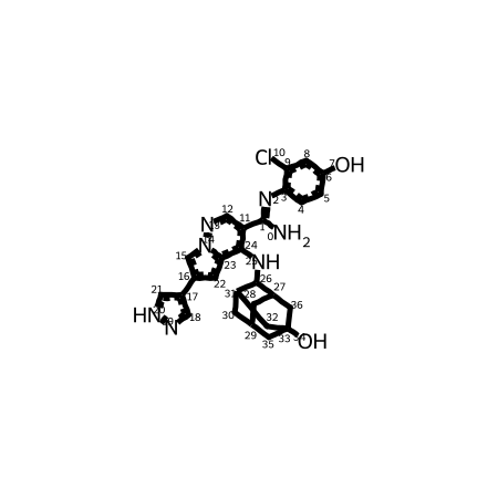 N/C(=N\c1ccc(O)cc1Cl)c1cnn2cc(-c3cn[nH]c3)cc2c1NC1C2CC3CC1CC(O)(C3)C2